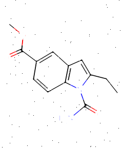 CCc1cc2cc(C(=O)OC)ccc2n1C(N)=O